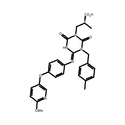 COc1ccc(Oc2ccc(/N=c3\[nH]c(=O)n(C[C@H](C)C(=O)O)c(=O)n3Cc3ccc(C)cc3)cc2)cn1